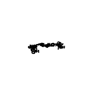 Cn1c(=O)n(C2CCC(=O)NC2=O)c2ccc(CCCN3CCN(c4ccc5cn([C@H]6CC[C@H](CNC(=O)c7cc(F)c(O)c(F)c7F)CC6)nc5c4)CC3)cc21